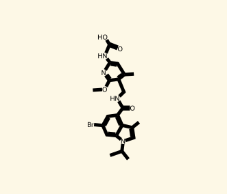 COc1nc(NC(=O)O)cc(C)c1CNC(=O)c1cc(Br)cc2c1c(C)cn2C(C)C